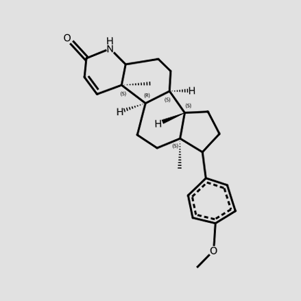 COc1ccc(C2CC[C@H]3[C@@H]4CCC5NC(=O)C=C[C@]5(C)[C@@H]4CC[C@]23C)cc1